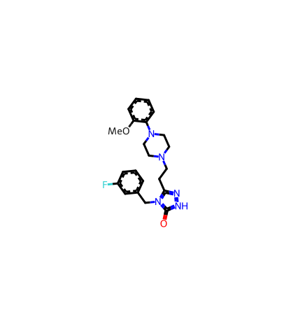 COc1ccccc1N1CCN(CCc2n[nH]c(=O)n2Cc2cccc(F)c2)CC1